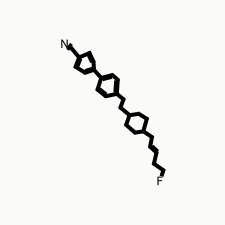 N#Cc1ccc(-c2ccc(CCC3CCC(CC=CCCF)CC3)cc2)cc1